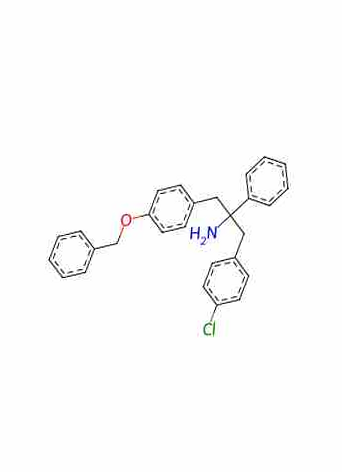 NC(Cc1ccc(Cl)cc1)(Cc1ccc(OCc2ccccc2)cc1)c1ccccc1